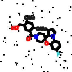 COc1cc(OC)c(C(=O)N2CCC3(CC2)Oc2cc(F)ccc2-n2cccc23)cc1CO